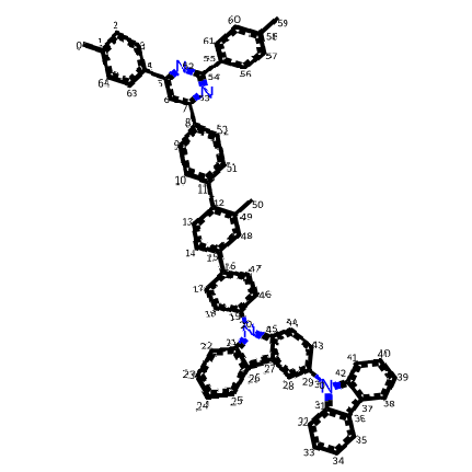 Cc1ccc(-c2cc(-c3ccc(-c4ccc(-c5ccc(-n6c7ccccc7c7cc(-n8c9ccccc9c9ccccc98)ccc76)cc5)cc4C)cc3)nc(-c3ccc(C)cc3)n2)cc1